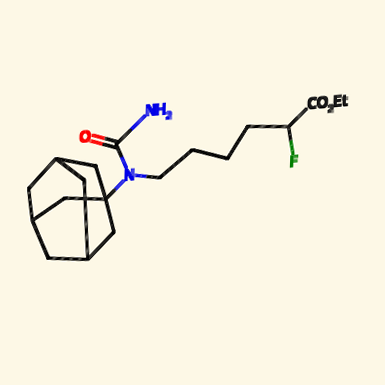 CCOC(=O)C(F)CCCCN(C(N)=O)C12CC3CC(CC(C3)C1)C2